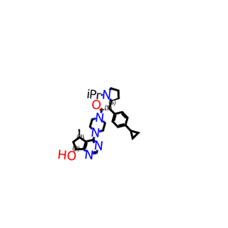 CC(C)N1CCC[C@H]1[C@@H](C(=O)N1CCN(c2ncnc3c2[C@H](C)C[C@H]3O)CC1)c1ccc(C2CC2)cc1